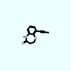 CC#Cc1cccc2c1OCCC(=O)N2